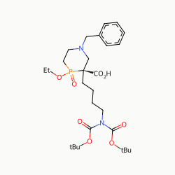 CCOP1(=O)CCN(Cc2ccccc2)C[C@@]1(CCCCN(C(=O)OC(C)(C)C)C(=O)OC(C)(C)C)C(=O)O